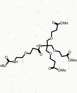 CCCCC(=O)NCCOCCC(=O)NC(COCCC(=O)OC)(COCCC(=O)OC)COCCC(=O)OC